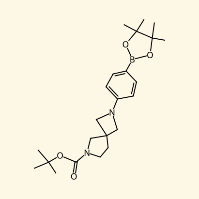 CC(C)(C)OC(=O)N1CCC2(C1)CN(c1ccc(B3OC(C)(C)C(C)(C)O3)cc1)C2